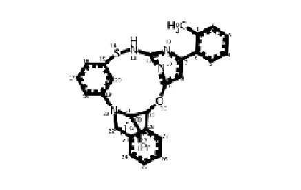 Cc1ccccc1-c1cc2nc(n1)NSc1cccc(c1)N1Cc3ccccc3C(O2)[C@H]1CC(C)C